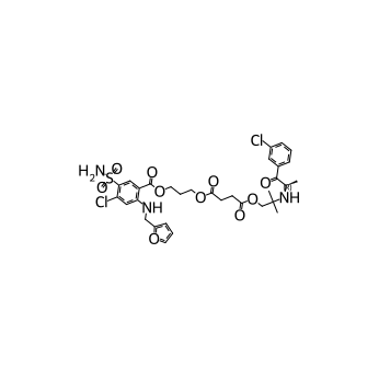 C[C@@H](NC(C)(C)COC(=O)CCC(=O)OCCCOC(=O)c1cc(S(N)(=O)=O)c(Cl)cc1NCc1ccco1)C(=O)c1cccc(Cl)c1